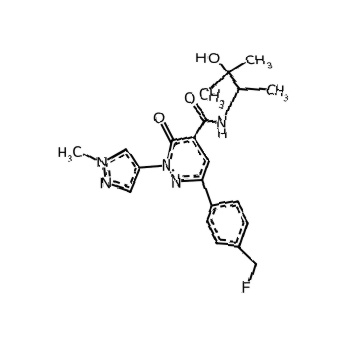 CC(NC(=O)c1cc(-c2ccc(CF)cc2)nn(-c2cnn(C)c2)c1=O)C(C)(C)O